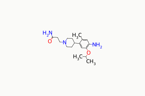 Cc1cc(N)c(OC(C)C)cc1C1CCN(CCC(N)=O)CC1